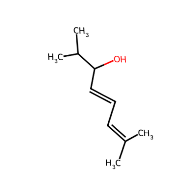 CC(C)=CC=CC(O)C(C)C